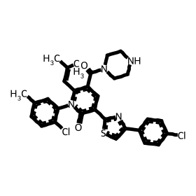 CC(C)=Cc1c(C(=O)N2CCNCC2)cc(-c2nc(-c3ccc(Cl)cc3)cs2)c(=O)n1-c1cc(C)ccc1Cl